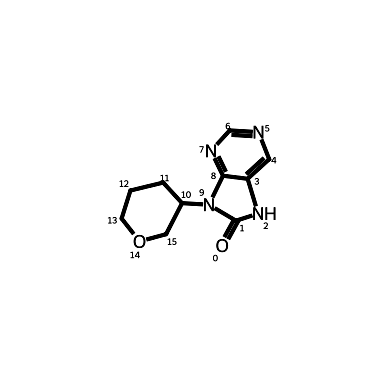 O=c1[nH]c2cncnc2n1C1CCCOC1